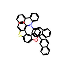 c1ccc(-c2ccccc2N(c2ccc(-c3ccc4ccccc4c3)cc2)c2cccc3sc4ccc5oc6c7ccccc7ccc6c5c4c23)cc1